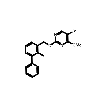 COc1nc(OCc2cccc(-c3ccccc3)c2C)ncc1Br